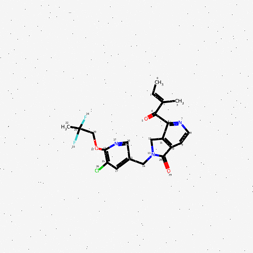 C/C=C(\C)C(=O)c1nccc2c1CN(Cc1cnc(OCC(C)(F)F)c(Cl)c1)C2=O